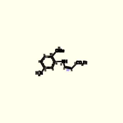 CCOC(=O)/C=C\Nc1cc(N)ccc1OC